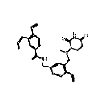 C=Cc1ccc(C(=C)NCc2ccc(C=C)c(CN(C)C3CCC(=O)NC3=O)c2)cc1/C=C\C